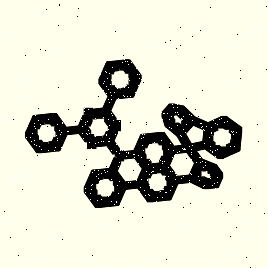 c1ccc(-c2nc(-c3ccccc3)nc(N3c4ccccc4-c4ccc5c6c(ccc3c46)C3(c4ccccc4-c4ccccc43)c3ccccc3-5)n2)cc1